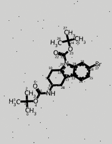 CC(C)(C)OC(=O)NC1CCc2c(c3ccc(Br)cc3n2C(=O)OC(C)(C)C)C1